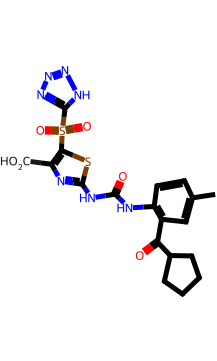 Cc1ccc(NC(=O)Nc2nc(C(=O)O)c(S(=O)(=O)c3nnn[nH]3)s2)c(C(=O)C2CCCC2)c1